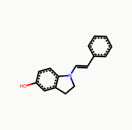 Oc1ccc2c(c1)CCN2C=Cc1ccccc1